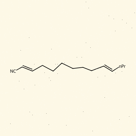 CCCC=CCCCCCCC=CC#N